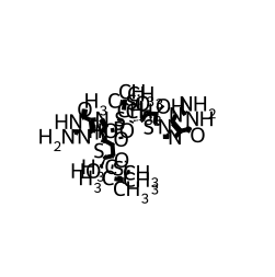 CC(C)(C)[Si](C)(C)OC1[C@@H](O)[C@H](n2cnc3c(=O)[nH]c(N)nc32)S[C@@H]1COP(O)(=S)O[C@@H]1C(O[Si](C)(C)C(C)(C)C)[C@@H](CO)S[C@H]1n1cnc2c(=O)[nH]c(N)nc21